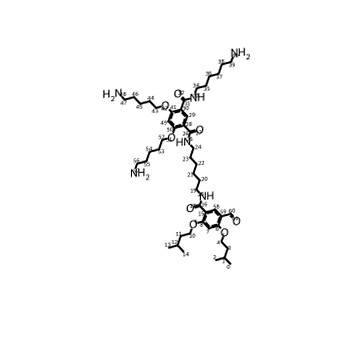 CC(C)CCOc1cc(OCCC(C)C)c(C(=O)NCCCCCCNC(=O)c2cc(C(=O)NCCCCCCN)c(OCCCCCN)cc2OCCCCCN)cc1C=O